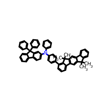 CC1(C)c2ccccc2-c2cc3c(cc21)-c1cccc(-c2ccc(N(c4ccccc4)c4ccc5c(c4)C(c4ccccc4)(c4ccccc4)c4ccccc4-5)cc2)c1C3(C)C